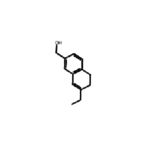 [CH2]CC1=Cc2cc(CO)ccc2CC1